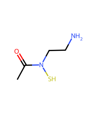 CC(=O)N(S)CCN